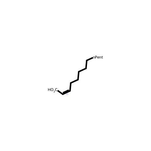 CCCCCCCCCC/C=C\C(=O)O